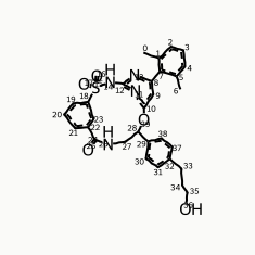 Cc1cccc(C)c1-c1cc2nc(n1)NS(=O)(=O)c1cccc(c1)C(=O)NCC(c1ccc(CCCO)cc1)O2